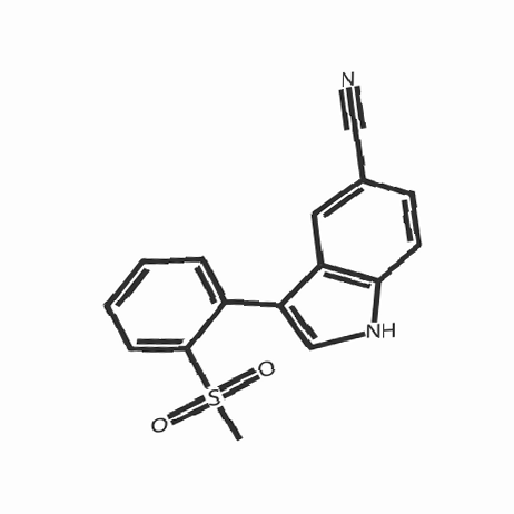 CS(=O)(=O)c1ccccc1-c1c[nH]c2ccc(C#N)cc12